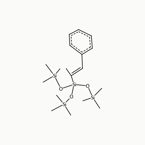 CC(=Cc1ccccc1)[Si](O[Si](C)(C)C)(O[Si](C)(C)C)O[Si](C)(C)C